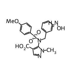 COc1ccc(S(=O)(=O)N(Cc2ccccc2)c2c(C(=O)O)cnn2C)cc1.NO